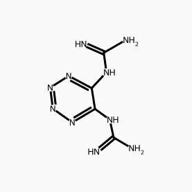 N=C(N)Nc1nnnnc1NC(=N)N